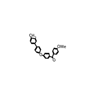 COc1ccc(C(=O)c2ccc(Oc3ccc(-c4ccc(C)cc4)cc3)cc2)cc1